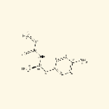 C=CC(=O)N[C@@H](Cc1ccc(N)cc1)C(=O)O